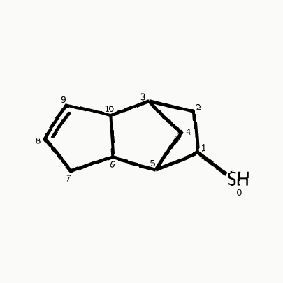 SC1CC2CC1C1CC=CC21